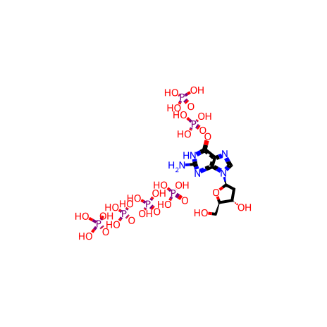 Nc1nc2c(ncn2[C@H]2C[C@H](O)[C@@H](CO)O2)c(=O)[nH]1.O=P(O)(O)O.O=P(O)(O)O.O=P(O)(O)O.O=P(O)(O)O.O=P(O)(O)O.O=P(O)(O)O